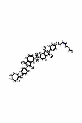 C=CCC/C=C\COc1ccc(N2C(=O)c3ccc(S(=O)(=O)C4=CC5=C(CC=C4)C(=O)N(c4ccc(OC6=CCCCCC6)cc4)C5=O)cc3C2=O)cc1